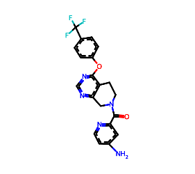 Nc1ccnc(C(=O)N2CCc3c(ncnc3Oc3ccc(C(F)(F)F)cc3)C2)c1